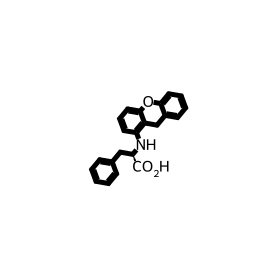 O=C(O)[C@H](Cc1ccccc1)Nc1cccc2c1Cc1ccccc1O2